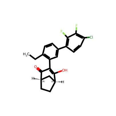 CCc1ccc(-c2ccc(Cl)c(F)c2F)cc1C1=C(O)[C@H]2CC[C@H](C2)C1=O